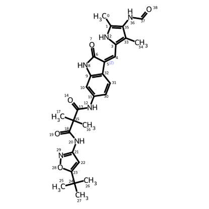 Cc1[nH]c(/C=C2\C(=O)Nc3cc(NC(=O)C(C)(C)C(=O)Nc4cc(C(C)(C)C)on4)ccc32)c(C)c1NC=O